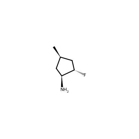 C[C@@H]1C[C@H](N)[C@@H](F)C1